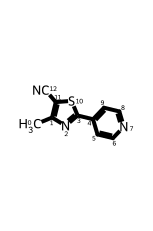 Cc1nc(-c2ccncc2)sc1C#N